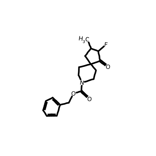 CC1CC2(CCN(C(=O)OCc3ccccc3)CC2)C(=O)C1F